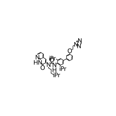 CC(C)CCCN(C(=O)Nc1c(C(C)C)cc(-c2cccc(OCCn3cncn3)c2)cc1C(C)C)c1cc2cccnc2[nH]c1=O